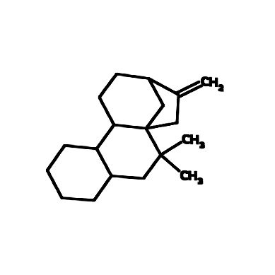 C=C1CC23CC1CCC2C1CCCCC1CC3(C)C